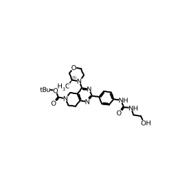 C[C@H]1COCCN1c1nc(-c2ccc(NC(=O)NCCO)cc2)nc2c1CN(C(=O)OC(C)(C)C)CC2